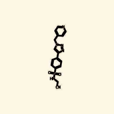 N#CCNS(=O)(=O)c1ccc(-c2cn(Cc3ccncc3)nn2)cc1